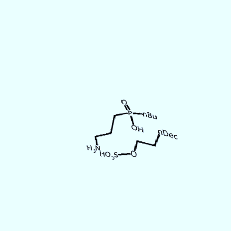 CCCCCCCCCCCCOS(=O)(=O)O.CCCCP(=O)(O)CCCN